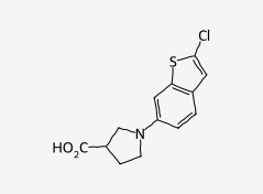 O=C(O)C1CCN(c2ccc3cc(Cl)sc3c2)C1